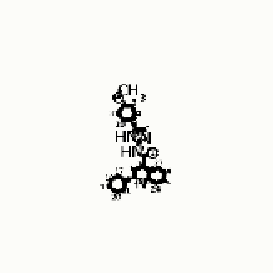 COc1ccc(-c2cnc(NC(=O)c3cc(-c4ccccc4)nc4ccccc34)[nH]2)cc1